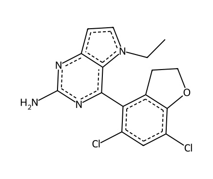 CCn1ccc2nc(N)nc(-c3c(Cl)cc(Cl)c4c3CCO4)c21